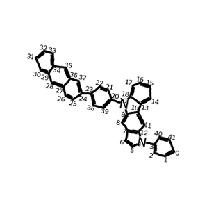 c1ccc(-n2ccc3cc4c(cc32)c2ccccc2n4-c2ccc(-c3ccc4cc5ccccc5cc4c3)cc2)cc1